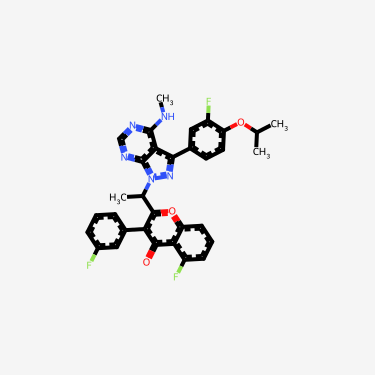 CNc1ncnc2c1c(-c1ccc(OC(C)C)c(F)c1)nn2C(C)c1oc2cccc(F)c2c(=O)c1-c1cccc(F)c1